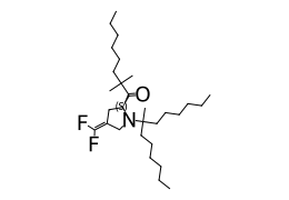 CCCCCCC(C)(C)C(=O)[C@@H]1CC(=C(F)F)CN1C(C)(CCCCCC)CCCCCC